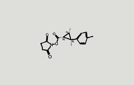 Cc1ccc([C@@]2(C)[C@H](C(=O)ON3C(=O)CCC3=O)[C@@H]2C)cc1